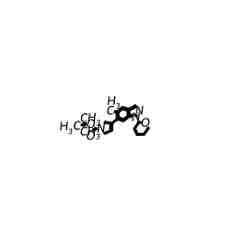 Cc1cc2cnn(C3CCCCO3)c2cc1C1=CCN(C(=O)OC(C)(C)C)C1